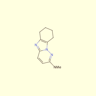 CNc1ccc2nc3c(n2n1)CCCC3